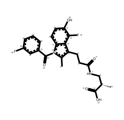 Cc1c(CCC(=O)NC[C@H](C)C(=O)O)c2c(F)c(O)ccc2n1C(=O)c1cccc(F)c1